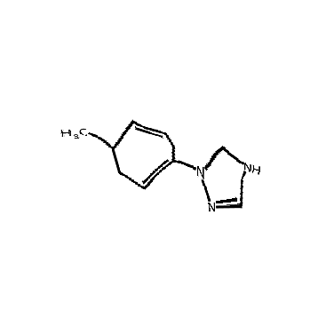 CC1C=CC(N2CNC=N2)=CC1